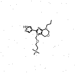 CCCN1COCc2c1nc(-c1cn[nH]c1)n2COCC[Si](C)(C)C